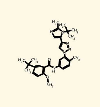 COc1ccc(C(C)(C)C)cc1C(=O)Nc1ccc(C)c(-n2cc(-c3cnc(C)n3C(C)(C)C)nn2)c1